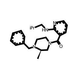 CC(C)CNc1ncccc1C(=O)N1CCN(Cc2ccccc2)[C@H](C)C1